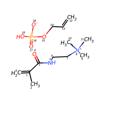 C=C(C)C(=O)NCC[N+](C)(C)C.C=CCOP(=O)([O-])O